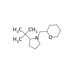 CC(C)(C)C1CCCN1CC1CCCCO1